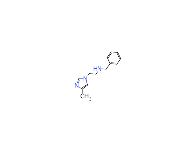 Cc1cn(CCNCc2ccccc2)cn1